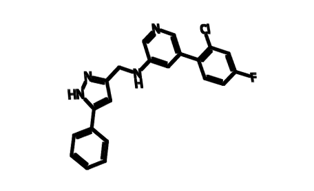 Fc1ccc(-c2cncc(NCc3cc(-c4ccccc4)[nH]n3)c2)c(Cl)c1